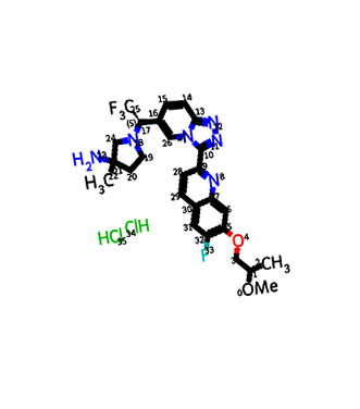 COC(C)COc1cc2nc(-c3nnc4ccc([C@H](N5CCC(C)(N)C5)C(F)(F)F)cn34)ccc2cc1F.Cl.Cl